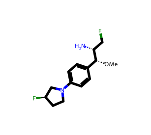 CO[C@H](c1ccc(N2CC[C@@H](F)C2)cc1)[C@H](N)CF